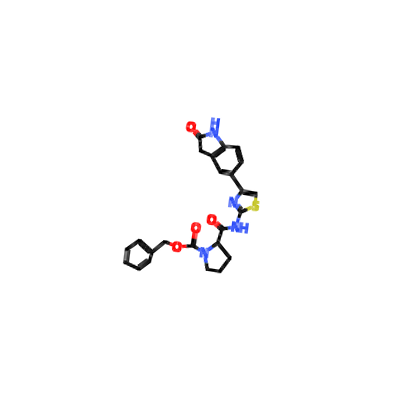 O=C1Cc2cc(-c3csc(NC(=O)C4CCCN4C(=O)OCc4ccccc4)n3)ccc2N1